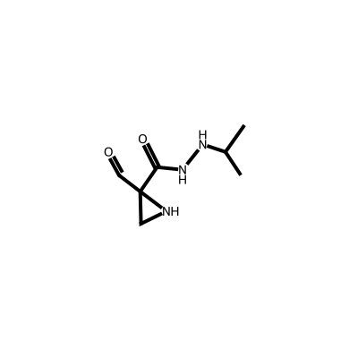 CC(C)NNC(=O)C1(C=O)CN1